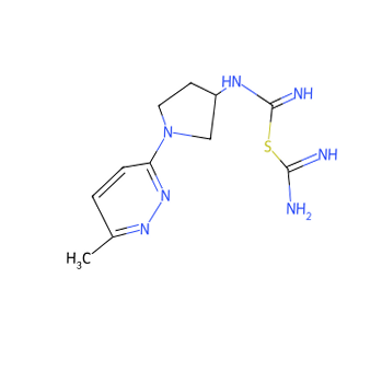 Cc1ccc(N2CCC(NC(=N)SC(=N)N)C2)nn1